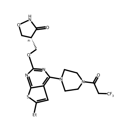 CCc1cc2c(N3CCN(C(=O)CC(F)(F)F)CC3)nc(OC[C@@H]3CONC3=O)nc2s1